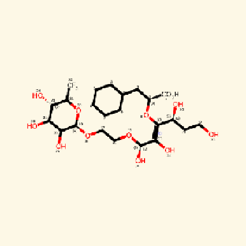 O=C(O)[C@H](CC1CCCCC1)O/C(=C(/O)[C@@H](O)OCCO[C@@H]1OC(C(F)(F)F)[C@@H](O)C(O)C1O)[C@@H](O)CCO